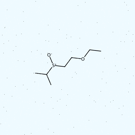 [CH2]C(C)[S+]([O-])CCOCC